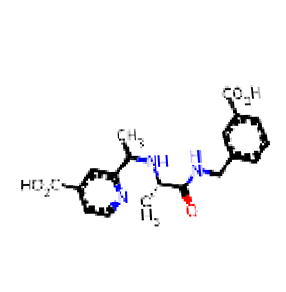 CC(N[C@@H](C)C(=O)NCc1cccc(C(=O)O)c1)c1cc(C(=O)O)ccn1